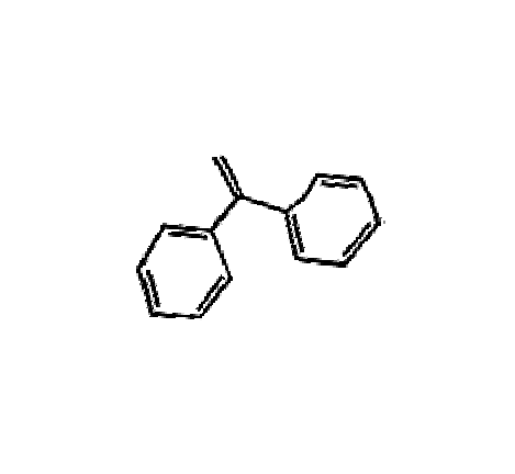 C=C(c1cc[c]cc1)c1ccccc1